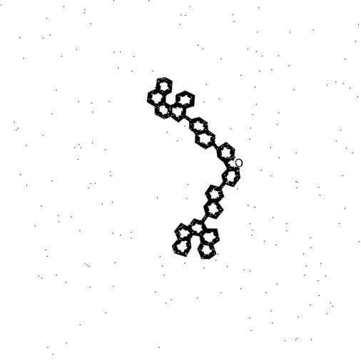 c1ccc2c(c1)ccc1ccc3cc(-c4ccc5cc(-c6ccc7oc8ccc(-c9ccc%10cc(-c%11cc%12ccc%13ccccc%13c%12c%12c%11ccc%11ccccc%11%12)ccc%10c9)cc8c7c6)ccc5c4)c4ccccc4c3c12